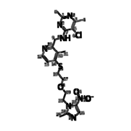 Cc1nc(C)c(Cl)c(NCc2nccc(SCCOCCn3c([N+](=O)[O-])cnc3C)c2C)n1